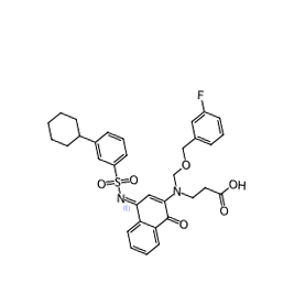 O=C(O)CCN(COCc1cccc(F)c1)C1=C/C(=N\S(=O)(=O)c2cccc(C3CCCCC3)c2)c2ccccc2C1=O